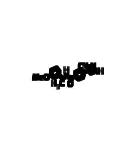 COc1cccc(C(C)NC(=O)c2ccc(-c3cn[nH]c3)c(C#N)c2)c1